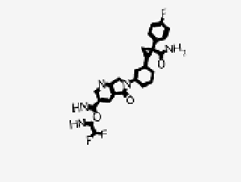 N=C(OC(=N)C(F)F)c1cnc2c(c1)C(=O)N(C1CCCC(C3CC3(C(N)=O)c3ccc(F)cc3)C1)C2